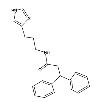 O=C(CC(c1ccccc1)c1ccccc1)NCCCc1c[nH]cn1